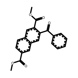 COC(=O)c1ccc2cc(C(=O)OC)c(C(=O)c3ccccc3)cc2c1